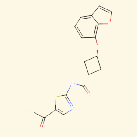 CC(=O)c1cnc(NC(=O)[C@H]2C[C@H](Oc3cccc4ccoc34)C2)s1